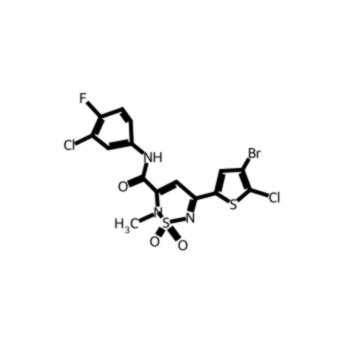 CN1C(C(=O)Nc2ccc(F)c(Cl)c2)=CC(c2cc(Br)c(Cl)s2)=NS1(=O)=O